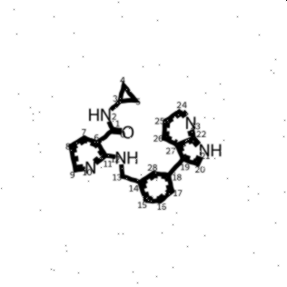 O=C(NC1CC1)c1cccnc1NCc1cccc(-c2c[nH]c3ncccc23)c1